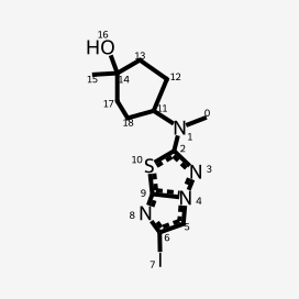 CN(c1nn2cc(I)nc2s1)C1CCC(C)(O)CC1